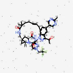 CC(=O)c1nn2c3c(cc(-c4cnc(C)nc4)cc13)C/C=C/CCC(C)(C)C(=O)NC[C@@]13C[C@@H](C(=O)Nc4ccn(CC(F)(F)F)n4)N(C(=O)C2)[C@@H]1C3